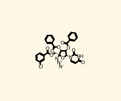 [N-]=[N+]=N[C@]1(COC(=O)c2cccc(Cl)c2)O[C@@H](n2ccc(=O)[nH]c2=O)C(OC(=O)c2ccccc2)[C@H]1OC(=O)c1ccccc1